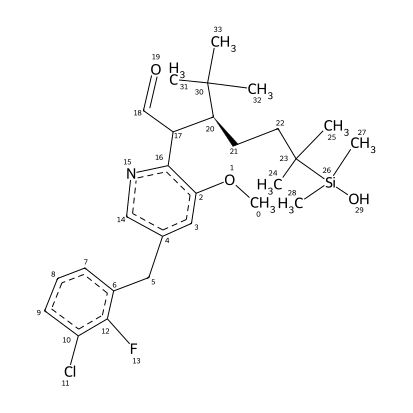 COc1cc(Cc2cccc(Cl)c2F)cnc1C(C=O)[C@H](CCC(C)(C)[Si](C)(C)O)C(C)(C)C